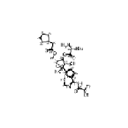 CCC(CC)C(=O)Nc1ncnn2c([C@]3(C#N)O[C@H](COC(=O)CC4CCCC4)[C@@H](OC(=O)[C@@H](N)C(C)(C)C)[C@H]3O)ccc12